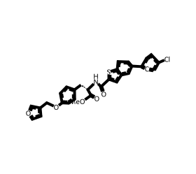 COC(=O)[C@H](Cc1ccc(OCc2ccoc2)cc1)NC(=O)c1cc2cc(-c3ccc(Cl)cc3)ccc2s1